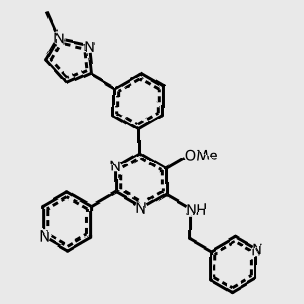 COc1c(NCc2cccnc2)nc(-c2ccncc2)nc1-c1cccc(-c2ccn(C)n2)c1